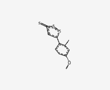 COc1ccc(-c2cc(=S)ss2)c(C)c1